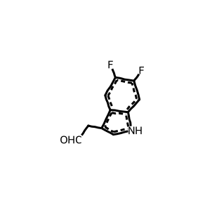 O=CCc1c[nH]c2cc(F)c(F)cc12